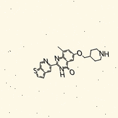 Cc1cc(OCC2CCNCC2)cc2c(=O)[nH]c(-c3cc4ccsc4cn3)nc12